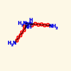 NCCOCCOCCOCCOCCOCCC(=O)NCCN(CCN)CCNC(=O)CCOCCOCCOCCOCCOCCN